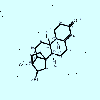 CCC1CC23CC[C@@]1(C(C)=O)[C@@]2(C)CC[C@H]1[C@H]3CCC2=CC(=O)CC[C@@H]21